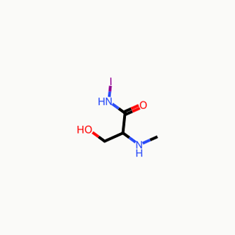 CNC(CO)C(=O)NI